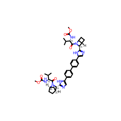 COC(=O)N[C@H](C(=O)N1C2CC[C@@H]2[C@H]1c1ncc(-c2ccc(-c3ccc(-c4cnc([C@@H]5[C@H]6CC[C@H](C6)N5C(=O)[C@@H](NC(=O)OC)C(C)C)[nH]4)cc3)cc2)[nH]1)C(C)C